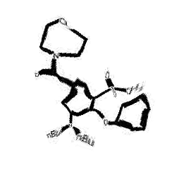 CCCCN(CCCC)c1cc(C(=O)N2CCOCC2)cc(S(C)(=O)=O)c1Oc1ccccc1